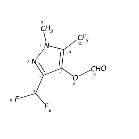 Cn1nc(C(F)F)c(OC=O)c1C(F)(F)F